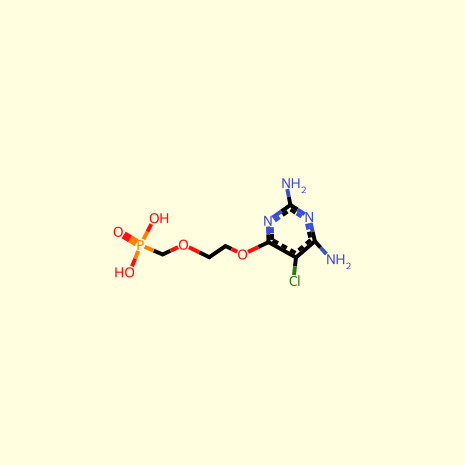 Nc1nc(N)c(Cl)c(OCCOCP(=O)(O)O)n1